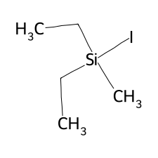 CC[Si](C)(I)CC